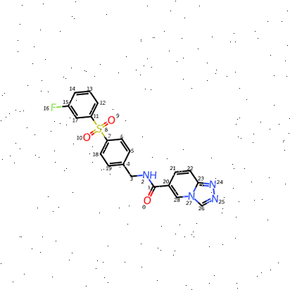 O=C(NCc1ccc(S(=O)(=O)c2cccc(F)c2)cc1)c1ccc2nncn2c1